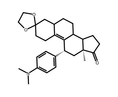 CN(C)c1ccc([C@H]2C[C@]3(C)C(=O)CCC3C3CCC4CC5(CCC4=C32)OCCO5)cc1